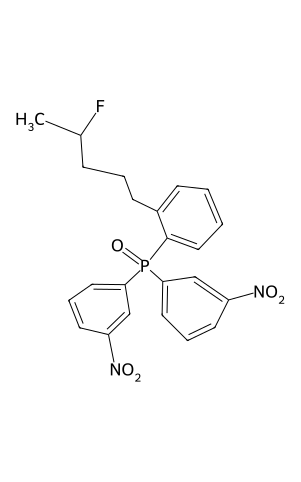 CC(F)CCCc1ccccc1P(=O)(c1cccc([N+](=O)[O-])c1)c1cccc([N+](=O)[O-])c1